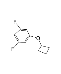 Fc1cc(F)cc(OC2CCC2)c1